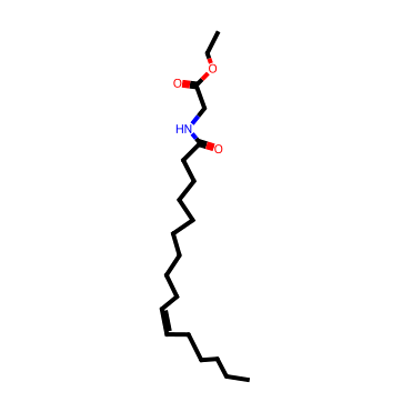 CCCCC/C=C\CCCCCCCCC(=O)NCC(=O)OCC